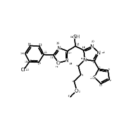 COCCCn1c(-c2cccs2)nnc1C(S)c1noc(-c2cccc(Cl)c2)n1